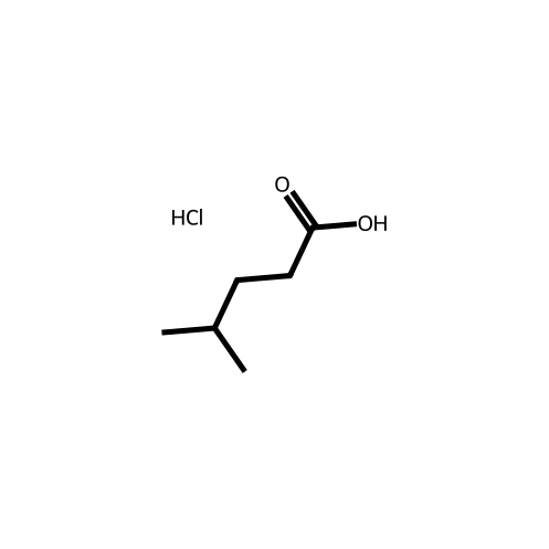 CC(C)CCC(=O)O.Cl